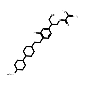 C=C(C)C(=O)OCC(CO)c1ccc(CCC2CCC(C3CCC(CCCCC)CC3)CC2)c(CC)c1